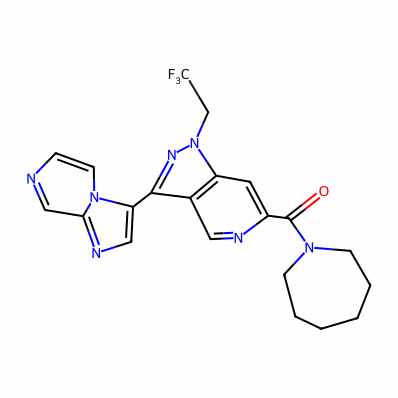 O=C(c1cc2c(cn1)c(-c1cnc3cnccn13)nn2CC(F)(F)F)N1CCCCCC1